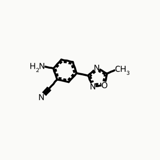 Cc1nc(-c2ccc(N)c(C#N)c2)no1